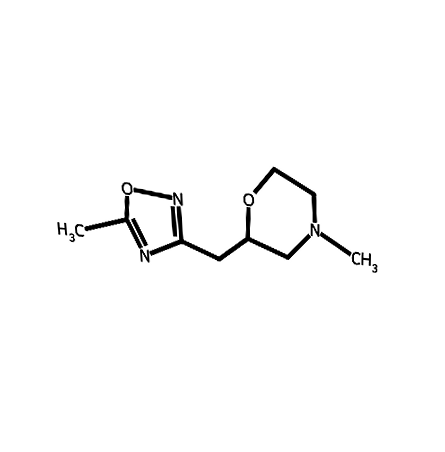 Cc1nc(CC2CN(C)CCO2)no1